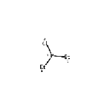 CCP(Cl)CC